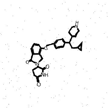 O=C1CCC(N2Cc3c(OCc4ccc(C(CC5CC5)C5CCNCC5)cc4)cccc3C2=O)C(=O)N1